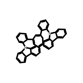 C1=CCC(c2ccccc2-n2c3ccccc3c3ccccc32)=CC(c2ccccc2-n2c3ccccc3c3ccccc32)=C1